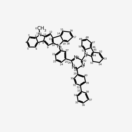 Cn1c2ccccc2c2cc3c(cc21)c1ccccc1n3-c1cccc(-c2nc(-c3ccc(-c4ccccc4)cc3)nc(-n3c4c(c5ccccc53)C=CCC4)n2)c1